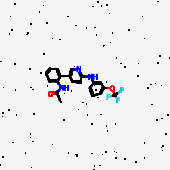 CC(=O)Nc1ccccc1-c1ccc(Nc2cccc(OC(F)(F)F)c2)nc1